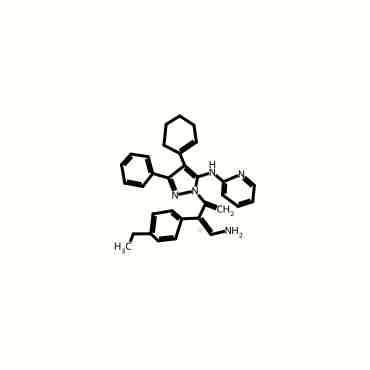 C=C(/C(=C\N)c1ccc(CC)cc1)n1nc(-c2ccccc2)c(C2=CCCCC2)c1Nc1ccccn1